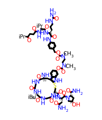 CC[C@H](C)[C@@H]1NC(=O)CNC(=O)[C@@H](N)Cc2c([nH]c3cc(OC(=O)N(C)CCN(C)C(=O)OCc4ccc(NC(=O)[C@H](CCCNC(N)=O)NC(=O)[C@@H](NC(=O)CCC(=O)C(C)C)C(C)C)cc4)ccc23)SC[C@@H](C(=O)N[C@@H](CC(N)=O)C(=O)N2C[C@H](O)C[C@H]2C(N)=O)NC(=O)CNC1=O